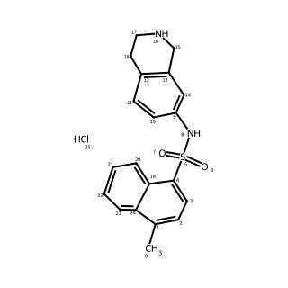 Cc1ccc(S(=O)(=O)Nc2ccc3c(c2)CNCC3)c2ccccc12.Cl